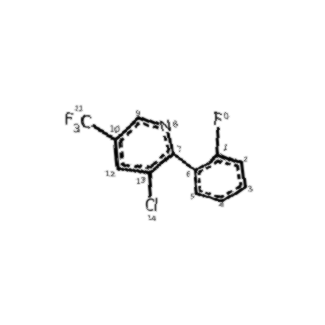 Fc1ccccc1-c1ncc(C(F)(F)F)cc1Cl